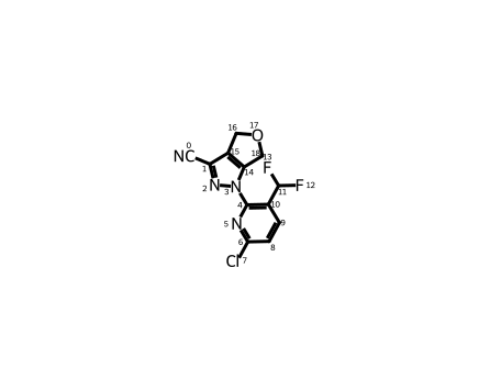 N#Cc1nn(-c2nc(Cl)ccc2C(F)F)c2c1COC2